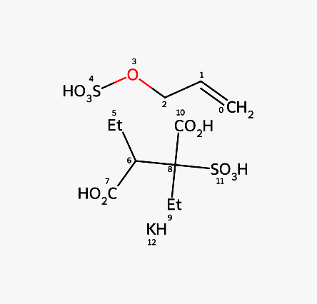 C=CCOS(=O)(=O)O.CCC(C(=O)O)C(CC)(C(=O)O)S(=O)(=O)O.[KH]